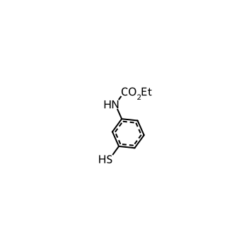 CCOC(=O)Nc1cccc(S)c1